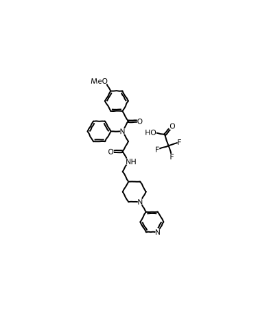 COc1ccc(C(=O)N(CC(=O)NCC2CCN(c3ccncc3)CC2)c2ccccc2)cc1.O=C(O)C(F)(F)F